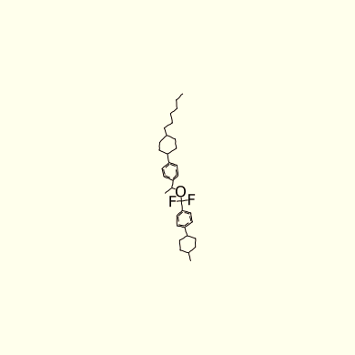 CCCCCCC1CCC(c2ccc(C(C)OC(F)(F)c3ccc(C4CCC(C)CC4)cc3)cc2)CC1